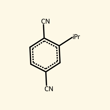 [CH2]C(C)c1cc(C#N)ccc1C#N